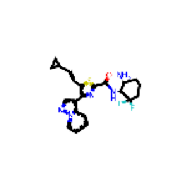 N[C@@H]1CCCC(F)(F)[C@@H]1NC(=O)c1nc(-c2cnn3ccccc23)c(C=CC2CC2)s1